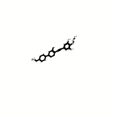 CCC(C)CC1CCC(C2CCC(C#Cc3cc(F)c(N=C=S)c(F)c3)=C(C)C2)CC1